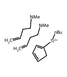 C=CCC[N-]C.C=CCC[N-]C.CCC[CH2][Ti+2][C]1=CC=CC1